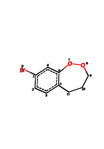 Brc1ccc2c(c1)OOCCC2